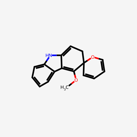 COC1=c2c([nH]c3ccccc23)=CCC12C=CC=CO2